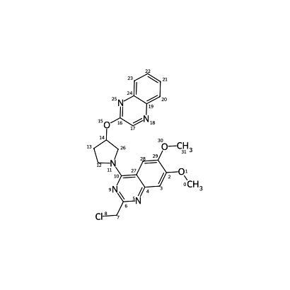 COc1cc2nc(CCl)nc(N3CCC(Oc4cnc5ccccc5n4)C3)c2cc1OC